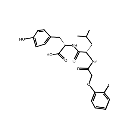 CC(C)C[C@H](NC(=O)COc1ccccc1I)C(=O)N[C@@H](Cc1ccc(O)cc1)C(=O)O